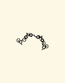 CC1CC(COc2ccc(N(C)c3ccc(CCc4ccc(N(C)c5ccc(OCC6CC(C)CC7OC67)cc5)cc4)cc3)cc2)C2OC2C1